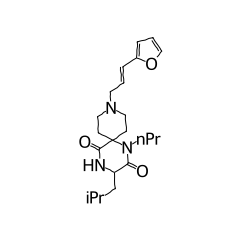 CCCN1C(=O)C(CC(C)C)NC(=O)C12CCN(C/C=C/c1ccco1)CC2